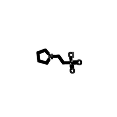 O=S(=O)(Cl)CCN1CCCC1